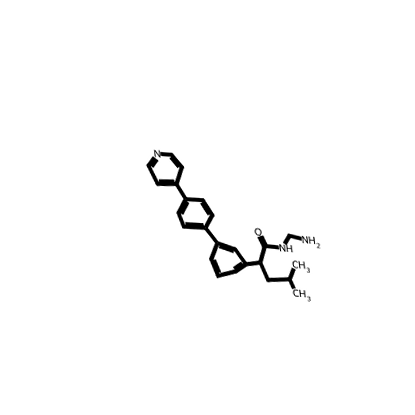 CC(C)CC(C(=O)NCN)c1cccc(-c2ccc(-c3ccncc3)cc2)c1